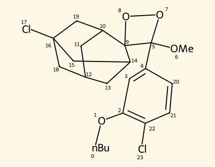 CCCCOc1cc(C2(OC)OOC23C2CC4CC3CC(Cl)(C4)C2)ccc1Cl